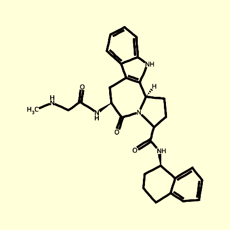 CNCC(=O)N[C@H]1Cc2c([nH]c3ccccc23)[C@H]2CCC(C(=O)N[C@@H]3CCCc4ccccc43)N2C1=O